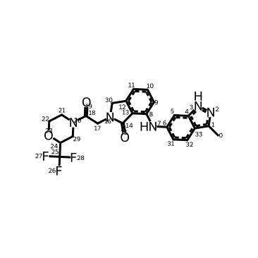 Cc1n[nH]c2cc(Nc3cccc4c3C(=O)N(CC(=O)N3CCOC(C(F)(F)F)C3)C4)ccc12